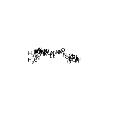 CCc1cc(Nc2ncc(Br)c(Nc3ccc4nc(C)ccc4c3P(C)(C)=O)n2)c(OC)cc1N1CCC(N2CCN(C(=O)C3CN(c4ccc5c(c4)C(C)(C)N(C4CCC(=O)NC4=O)C5=O)C3)CC2)CC1